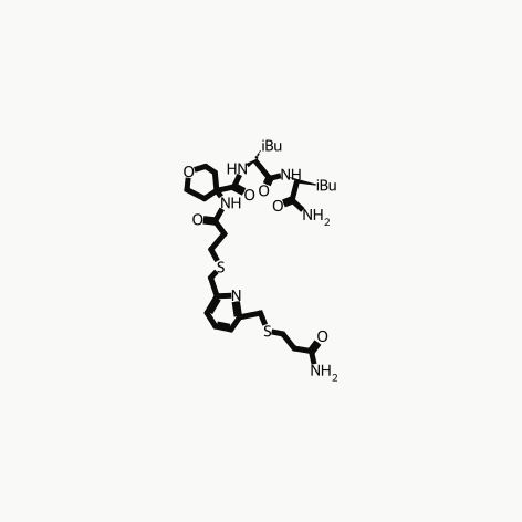 CC[C@H](C)[C@H](NC(=O)[C@@H](NC(=O)C1(NC(=O)CCSCc2cccc(CSCCC(N)=O)n2)CCOCC1)[C@@H](C)CC)C(N)=O